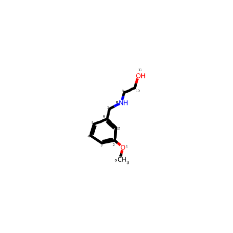 COc1cccc(CNCCO)c1